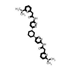 CN(C)c1cccc(CC(=O)Nc2ccc([C@H]3CCC[C@H](c4ccc(NC(=O)Cc5cccc(N(C)C)n5)nn4)C3)nn2)n1